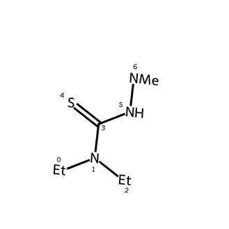 CCN(CC)C(=S)NNC